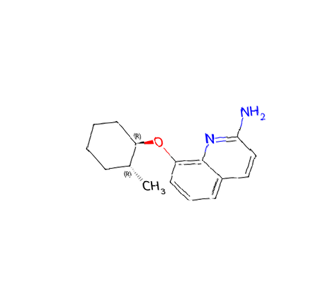 C[C@@H]1CCCC[C@H]1Oc1cccc2ccc(N)nc12